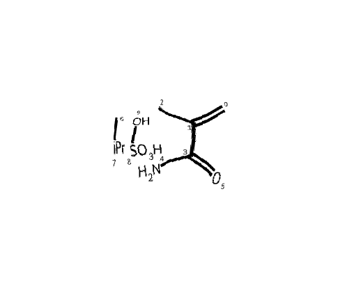 C=C(C)C(N)=O.CC(C)C.O=S(=O)(O)O